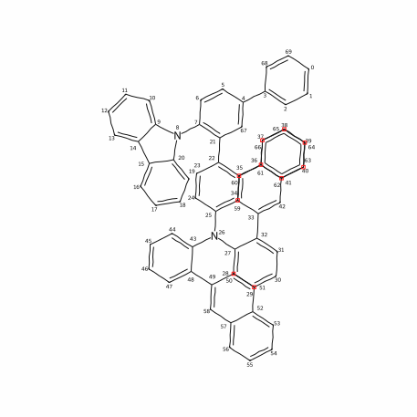 c1ccc(-c2ccc(-n3c4ccccc4c4ccccc43)c(-c3ccc(N(c4ccccc4-c4ccc5ccccc5c4)c4ccccc4-c4ccc5ccccc5c4)cc3-c3ccccc3)c2)cc1